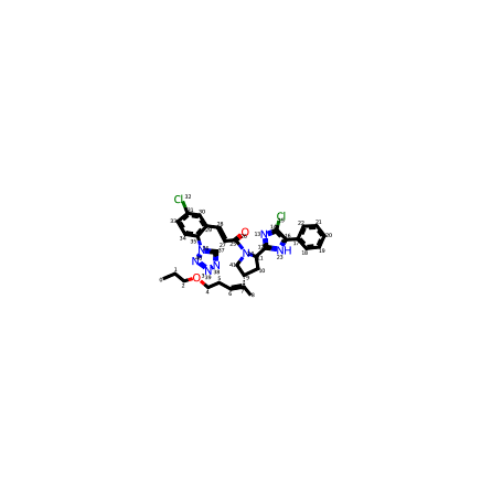 CCCOCC/C=C(/C)[C@H]1CC(c2nc(Cl)c(-c3ccccc3)[nH]2)N(C(=O)/C=C/c2cc(Cl)ccc2-n2cnnn2)C1